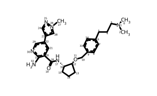 CN(C)CCCc1ccc(CO[C@H]2CCC[C@@H]2NC(=O)c2cc(-c3cnn(C)c3)cnc2N)cc1